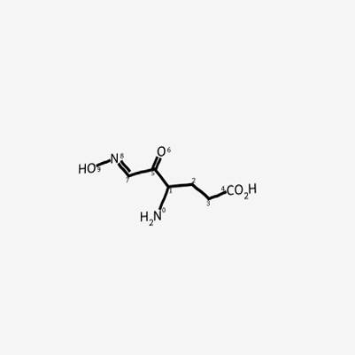 NC(CCC(=O)O)C(=O)C=NO